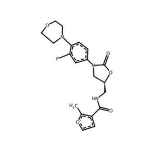 Cc1occc1C(=O)NC[C@H]1CN(c2ccc(N3CCOCC3)c(F)c2)C(=O)O1